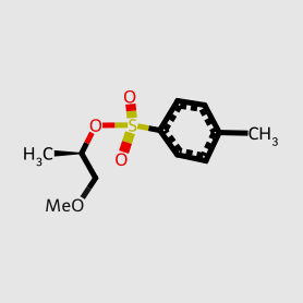 COC[C@@H](C)OS(=O)(=O)c1ccc(C)cc1